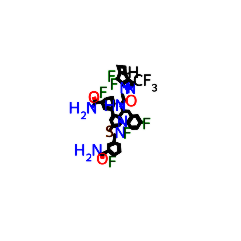 NC(=O)c1cc(-c2nc3nc(C(Cc4cc(F)cc(F)c4)NC(=O)Cn4nc(C(F)(F)F)c5c4C(F)(F)C4CC[C@H]54)c(-c4ccc(F)c(C(N)=O)c4)cc3s2)ccc1F